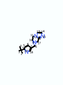 CC(C)(C)c1ccc(CN2CCn3ccnc3C2)cn1